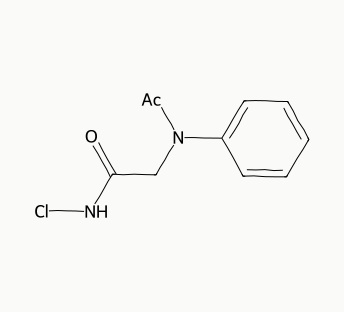 CC(=O)N(CC(=O)NCl)c1ccccc1